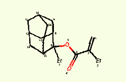 C=C(CC)C(=O)OC1(CC)C2CC3CC(C2)CC1C3